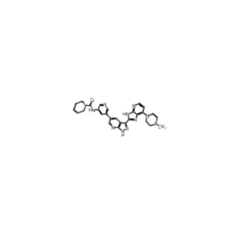 CN1CCN(c2ccnc3[nH]c(-c4n[nH]c5ncc(-c6cncc(NC(=O)C7CCCCC7)c6)cc45)nc23)CC1